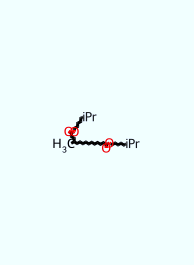 CC(C)CCCCCOC(=O)CCCCCCCCCCC(C)CCC(=O)OCCCCCC(C)C